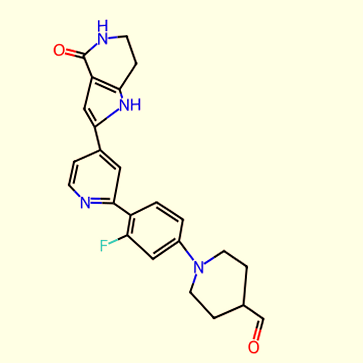 O=CC1CCN(c2ccc(-c3cc(-c4cc5c([nH]4)CCNC5=O)ccn3)c(F)c2)CC1